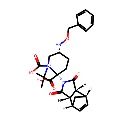 CC(C)(C)[N+]1(C(=O)O)C[C@H](NOCc2ccccc2)CC[C@]1(C(=O)O)N1C(=O)[C@@H]2[C@H](C1=O)[C@@H]1C=C[C@H]2C1